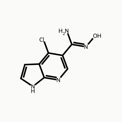 N/C(=N\O)c1cnc2[nH]ccc2c1Cl